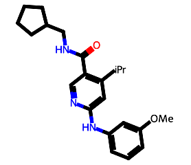 COc1cccc(Nc2cc(C(C)C)c(C(=O)NCC3CCCC3)cn2)c1